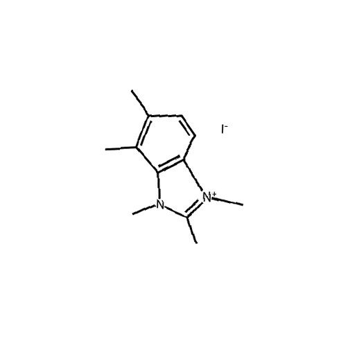 Cc1ccc2c(c1C)n(C)c(C)[n+]2C.[I-]